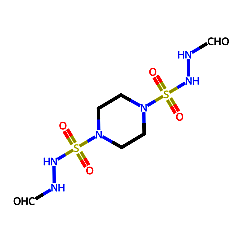 O=CNNS(=O)(=O)N1CCN(S(=O)(=O)NNC=O)CC1